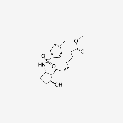 COC(=O)CCC/C=C\C[C@@H]1[C@@H](NS(=O)(=O)c2ccc(C)cc2)CC[C@@H]1O